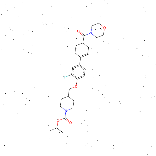 CC(C)OC(=O)N1CCC(COc2ccc(C3=CCC(C(=O)N4CCOCC4)CC3)cc2F)CC1